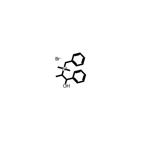 CC(C(O)c1ccccc1)[N+](C)(C)Cc1ccccc1.[Br-]